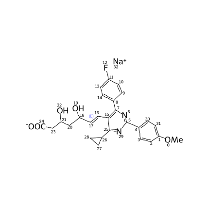 COc1ccc(-c2nc(-c3ccc(F)cc3)c(/C=C/C(O)CC(O)CC(=O)[O-])c(C3CC3)n2)cc1.[Na+]